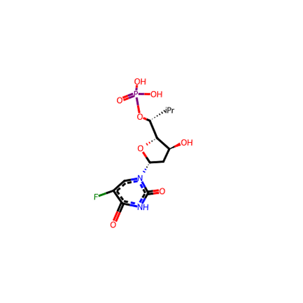 CC(C)[C@@H](OP(=O)(O)O)[C@H]1O[C@@H](n2cc(F)c(=O)[nH]c2=O)C[C@@H]1O